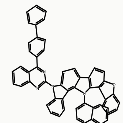 c1ccc(-c2ccc(-c3nc(-n4c5ccccc5c5c4ccc4c6ccc7oc8ccccc8c7c6n(-c6cccc7ccccc67)c45)nc4ccccc34)cc2)cc1